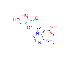 Nc1ncnn2c([C@@H]3O[C@H](CO)[C@@H](O)[C@H]3O)cc(C(=O)O)c12